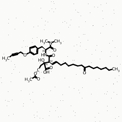 CC#CCOc1ccc(C[C@H](NC(=O)[C@@H](C=CCCCCCCC(=O)CCCCCCC)[C@@](O)(CCOC(C)=O)C(=O)O)C(=O)N(C)C)cc1